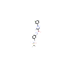 Cc1nc(-c2cccc(F)c2)ncc1C(=O)NCc1cccc(CNS(=O)(=O)C(C)C)c1